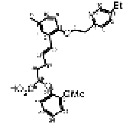 CCc1ccc(CCOc2ccc(C)cc2/C=C/CCC(Oc2ccccc2OC)C(=O)O)nc1